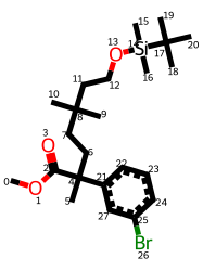 COC(=O)C(C)(CCC(C)(C)CCO[Si](C)(C)C(C)(C)C)c1cccc(Br)c1